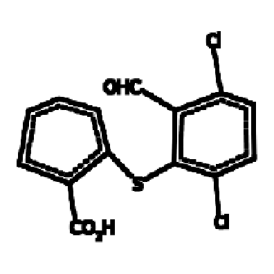 O=Cc1c(Cl)ccc(Cl)c1Sc1ccccc1C(=O)O